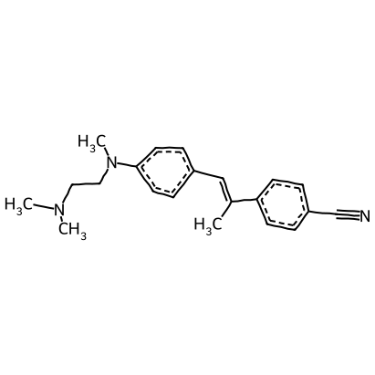 C/C(=C\c1ccc(N(C)CCN(C)C)cc1)c1ccc(C#N)cc1